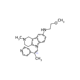 COCCNc1ccc2c(c1)c1c(n2/C=C(/C)c2ccncc2)CCN(C)C1